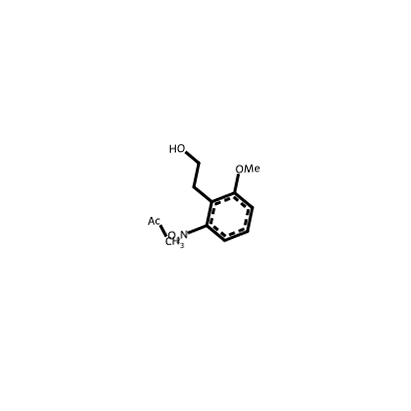 CC(C)=O.COc1cccc([N+](=O)[O-])c1CCO